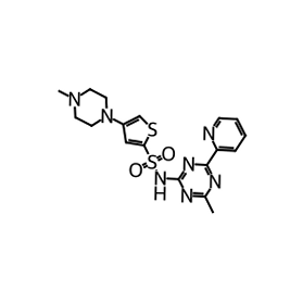 Cc1nc(NS(=O)(=O)c2cc(N3CCN(C)CC3)cs2)nc(-c2ccccn2)n1